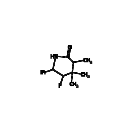 CC(C)C1NC(=O)C(C)C(C)(C)C1F